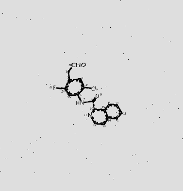 O=CCc1cc(Cl)c(NC(=O)c2nccc3ccccc23)cc1F